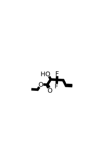 C=CCC(F)(F)C(O)C(=O)OCC